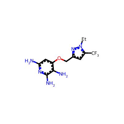 CCn1nc(COc2cc(N)nc(N)c2N)cc1C(F)(F)F